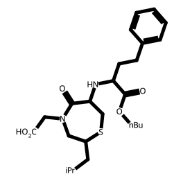 CCCCOC(=O)C(CCc1ccccc1)NC1CSC(CC(C)C)CN(CC(=O)O)C1=O